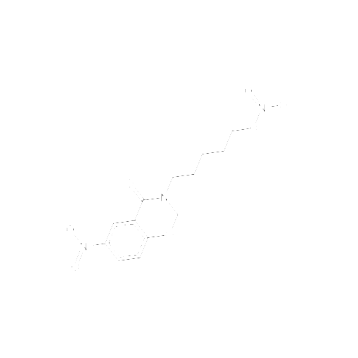 O=C1c2cc([N+](=O)[O-])ccc2OCN1CCCCCO[N+](=O)[O-]